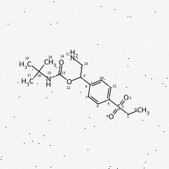 CCS(=O)(=O)c1ccc(C(CN)OC(=O)NC(C)(C)C)cc1